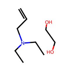 C=CCN(CC)CC.OCCO